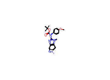 COc1ccc(N(C(=O)OC(C)(C)C)c2nc3cc(N)ccc3n2C)cc1